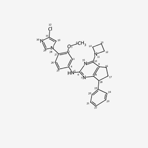 COc1cc(Nc2nc3c(c(N4CCC4)n2)CCC3c2ccccc2)ccc1-n1cnc(Cl)c1